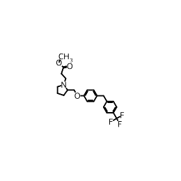 COC(=O)CCN1CCCC1COc1ccc(Cc2ccc(C(F)(F)F)cc2)cc1